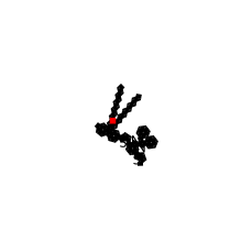 CCCCCCCCCCCCC1(CCCCCCCCCCCC)c2cc(C)ccc2-c2ccc(-c3ccc(-c4ccc(-c5ccc(C)s5)c5nc(-c6ccccc6)c(-c6ccccc6)nc45)s3)cc21